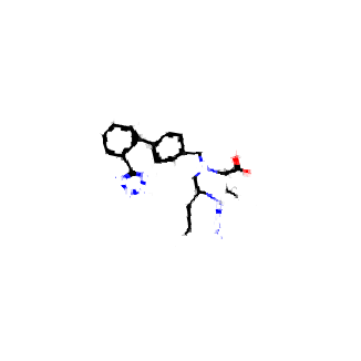 CCCC(CN(Cc1ccc(-c2ccccc2-c2nnn[nH]2)cc1)[C@H](C(=O)O)C(C)C)N=[N+]=[N-]